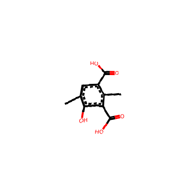 Cc1cc(C(=O)O)c(C)c(C(=O)O)c1O